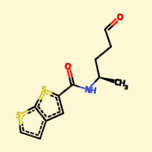 C[C@H](CCC=O)NC(=O)c1cc2ccsc2s1